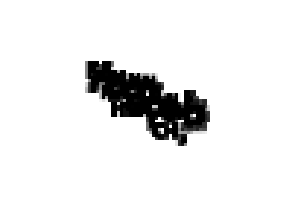 CCC(Nc1ncnc(N)c1C(=N)c1cnc(C(F)(F)F)nc1)c1cnn(-c2ccccc2F)c1